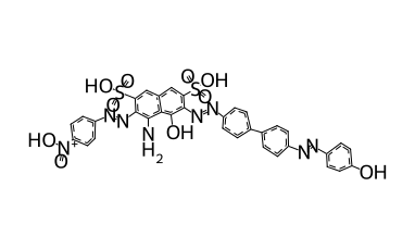 Nc1c(/N=N/c2ccc([N+](=O)O)cc2)c(S(=O)(=O)O)cc2cc(S(=O)(=O)O)c(/N=N/c3ccc(-c4ccc(/N=N/c5ccc(O)cc5)cc4)cc3)c(O)c12